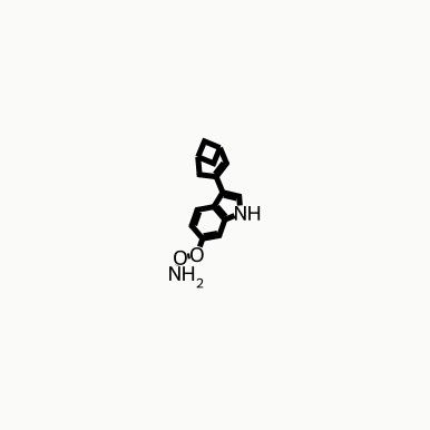 NOOc1ccc2c(C3=CC4CC(C3)C4)c[nH]c2c1